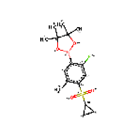 Cc1cc(B2OC(C)(C)C(C)(C)O2)c(F)cc1S(=O)(=O)C1CC1